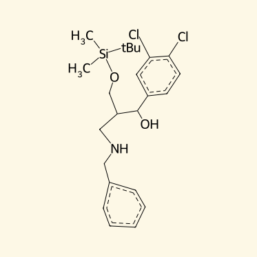 CC(C)(C)[Si](C)(C)OCC(CNCc1ccccc1)C(O)c1ccc(Cl)c(Cl)c1